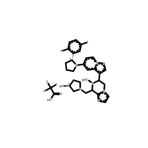 O=C(O)C(F)(F)F.O=CN1C(c2cnn3ccc(N4CCC[C@@H]4c4cc(F)ccc4F)cc23)Cn2ccnc2C1CN1CC[C@H](O)C1